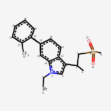 CC(C)Cn1cc(C(C)CS(C)(=O)=O)c2ccc(-c3ccccc3C(F)(F)F)cc21